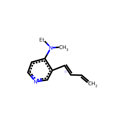 C=C/C=C/c1cnccc1N(C)CC